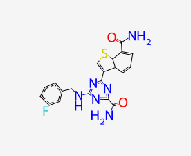 NC(=O)C1=CC=CC2C(c3nc(NCc4cccc(F)c4)nc(C(N)=O)n3)=CSC12